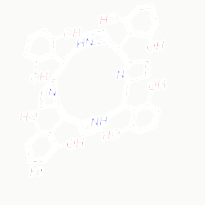 Oc1cccc(O)c1-c1c2nc(c(-c3c(O)cccc3O)c3ccc([nH]3)c(-c3c(O)cccc3O)c3nc(c(-c4c(O)cccc4O)c4ccc1[nH]4)C=C3)C=C2.[Fe]